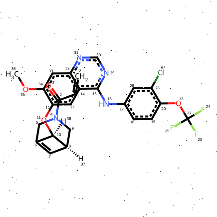 C=CC(=O)N1CC2=C[C@H](C1)[C@@H]2Oc1cc2c(Nc3ccc(OC(F)(F)F)c(Cl)c3)ncnc2cc1OC